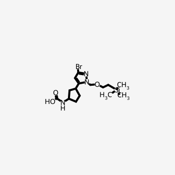 C[Si](C)(C)CCOCn1nc(Br)cc1C1CCC(NC(=O)O)C1